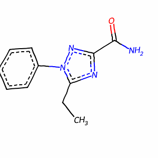 CCc1nc(C(N)=O)nn1-c1ccccc1